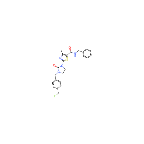 Cc1nc(N2CCN(Cc3ccc(CF)cc3)C2=O)sc1C(=O)NCc1ccccc1